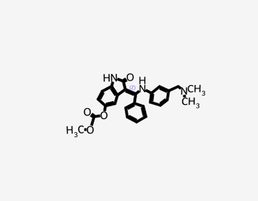 COC(=O)Oc1ccc2c(c1)/C(=C(/Nc1cccc(CN(C)C)c1)c1ccccc1)C(=O)N2